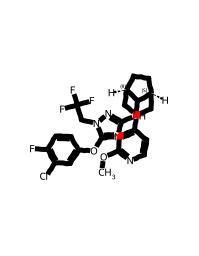 COc1cc(N2C[C@H]3CC[C@@H](C2)C3Nc2nc(Oc3ccc(F)c(Cl)c3)n(CC(F)(F)F)n2)ccn1